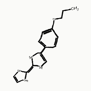 CCCOc1ccc(C2=C[Se]C(=C3[Se]C=C[Se]3)[Se]2)cc1